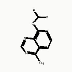 Oc1ncnc2c(OC(F)F)cccc12